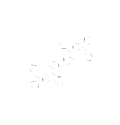 Cc1ccc2c3cc4c5ccccc5n(-c5cc(-c6ccnc(-n7c8ccccc8c8cc9c%10ccccc%10n(-c%10ccccc%10)c9cc87)c6)ccn5)c4cc3n(-c3ccccc3)c2c1